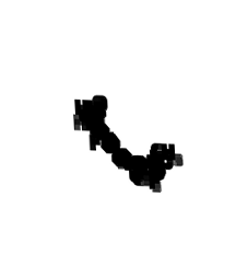 Cn1cc(-c2ccc(CN3CCC(C4CCN(c5ccc(NC6CCC(=O)NC6=O)cc5F)CC4)CC3)c(OC(F)(F)F)c2)c2cc(F)ccc2c1=O